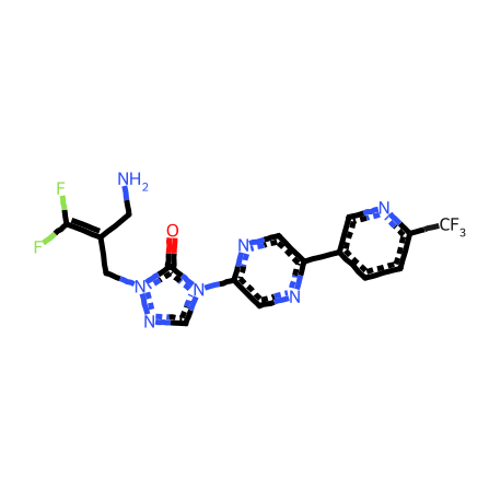 NCC(Cn1ncn(-c2cnc(-c3ccc(C(F)(F)F)nc3)cn2)c1=O)=C(F)F